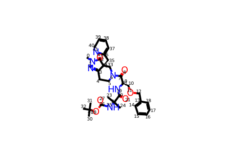 CN1N=C2CCN(C(=O)[C@@H](COCc3ccccc3)NC(=O)C(C)(C)NC(=O)OC(C)(C)C)C[C@@]2(Cc2ccccn2)C1=O